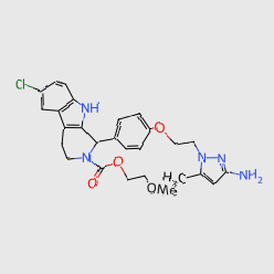 COCCOC(=O)N1CCc2c([nH]c3ccc(Cl)cc23)C1c1ccc(OCCn2nc(N)cc2C)cc1